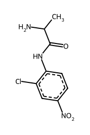 CC(N)C(=O)Nc1ccc([N+](=O)[O-])cc1Cl